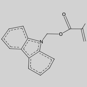 C=C(C)C(=O)OCn1c2ccccc2c2ccccc21